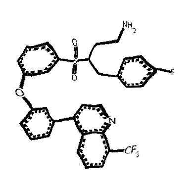 NCCC(Cc1ccc(F)cc1)S(=O)(=O)c1cccc(Oc2cccc(-c3ccnc4c(C(F)(F)F)cccc34)c2)c1